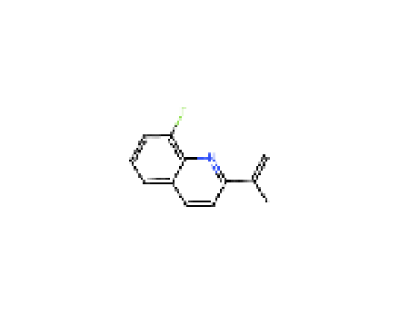 C=C(C)c1ccc2cccc(F)c2n1